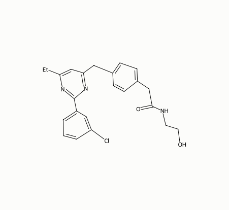 CCc1cc(Cc2ccc(CC(=O)NCCO)cc2)nc(-c2cccc(Cl)c2)n1